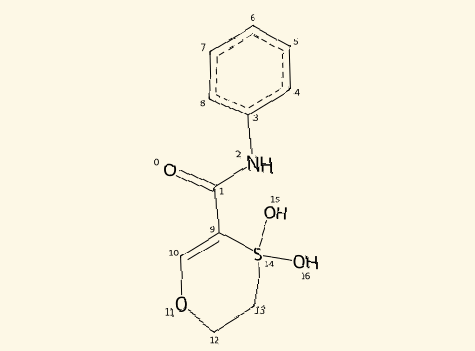 O=C(Nc1ccccc1)C1=COCCS1(O)O